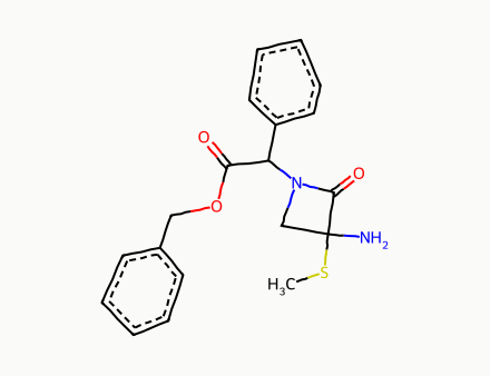 CSC1(N)CN(C(C(=O)OCc2ccccc2)c2ccccc2)C1=O